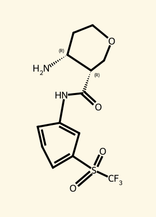 N[C@@H]1CCOC[C@@H]1C(=O)Nc1cccc(S(=O)(=O)C(F)(F)F)c1